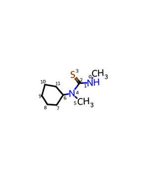 CNC(=S)N(C)C1CCCCC1